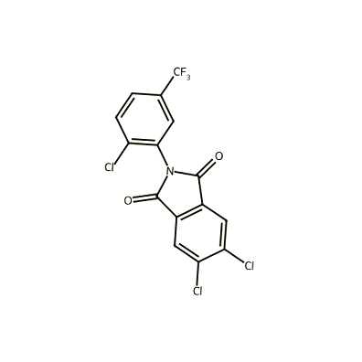 O=C1c2cc(Cl)c(Cl)cc2C(=O)N1c1cc(C(F)(F)F)ccc1Cl